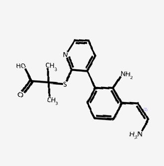 CC(C)(Sc1ncccc1-c1cccc(/C=C\N)c1N)C(=O)O